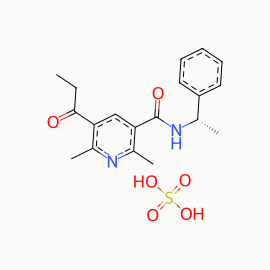 CCC(=O)c1cc(C(=O)N[C@@H](C)c2ccccc2)c(C)nc1C.O=S(=O)(O)O